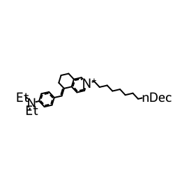 CCCCCCCCCCCCCCCCCC[n+]1ccc2c(c1)CCC/C2=C\c1ccc(N(CC)CC)cc1